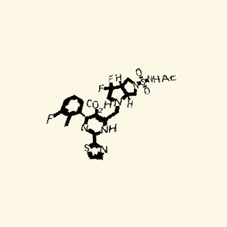 CC(=O)NS(=O)(=O)N1C[C@@H]2[C@H](C1)N(CC1=C(C(=O)O)[C@H](c3cccc(F)c3C)N=C(c3nccs3)N1)CC2(F)F